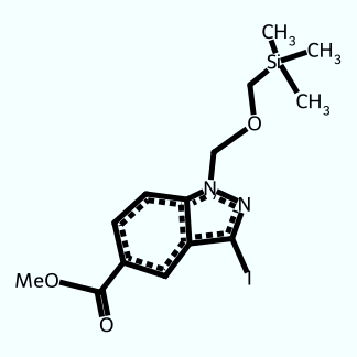 COC(=O)c1ccc2c(c1)c(I)nn2COC[Si](C)(C)C